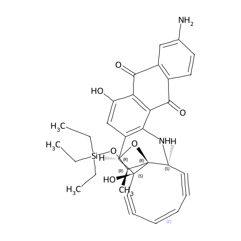 CC[Si](CC)(CC)O[C@H](C)[C@]12O[C@@H]3c4cc(O)c5c(c4N[C@H]1C#C/C=C\C#C[C@]32O)C(=O)c1ccc(N)cc1C5=O